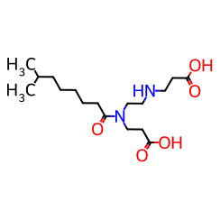 CC(C)CCCCCC(=O)N(CCNCCC(=O)O)CCC(=O)O